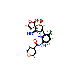 C[C@@]1(c2cc(NC(=O)C3CCOCC3)ccc2F)CS(=O)(=O)[C@]2(CCOC2)C(=N)N1